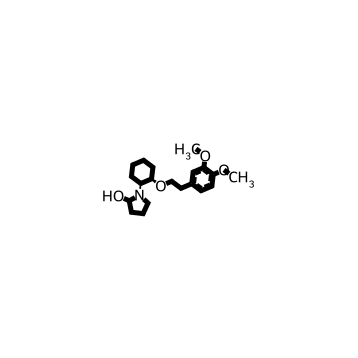 COc1ccc(CCO[C@@H]2CCCC[C@H]2N2CCCC2O)cc1OC